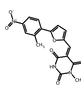 Cc1cc([N+](=O)[O-])ccc1-c1ccc(C=C2C(=O)NC(=O)N(C)C2=O)o1